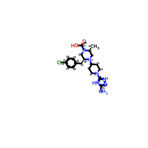 C[C@H]1CN(C2CCN(c3nnc(N)[nH]3)CC2)[C@@H](Cc2ccc(Cl)cc2)CN1C(=O)O